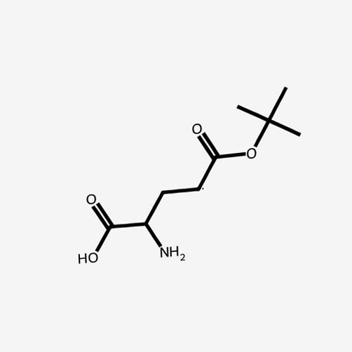 CC(C)(C)OC(=O)[CH]CC(N)C(=O)O